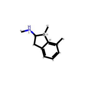 CNC1Cc2cccc(C)c2B1C